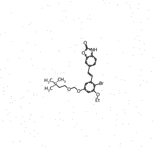 CCOc1cc(OCOCC[Si](C)(C)C)cc(/C=C/c2ccc3[nH]c(=O)oc3c2)c1Br